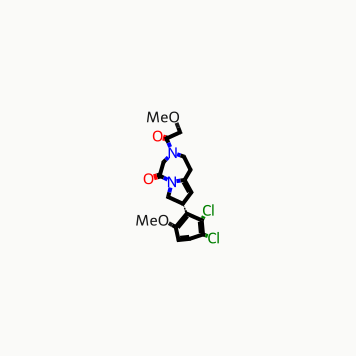 COCC(=O)N1CCC2=C[C@H](c3c(OC)ccc(Cl)c3Cl)CN2C(=O)C1